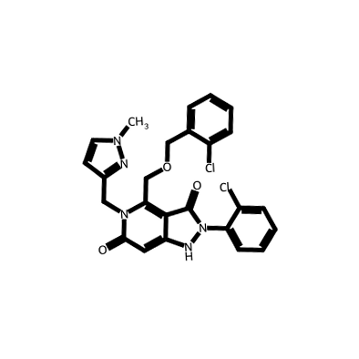 Cn1ccc(Cn2c(COCc3ccccc3Cl)c3c(=O)n(-c4ccccc4Cl)[nH]c3cc2=O)n1